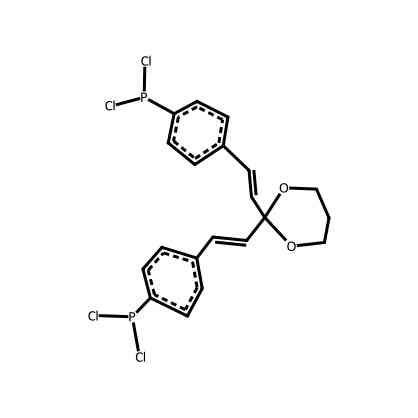 ClP(Cl)c1ccc(/C=C/C2(/C=C/c3ccc(P(Cl)Cl)cc3)OCCCO2)cc1